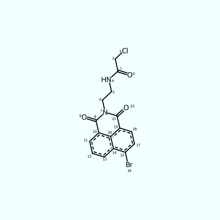 O=C(CCl)NCCN1C(=O)c2cccc3c(Br)ccc(c23)C1=O